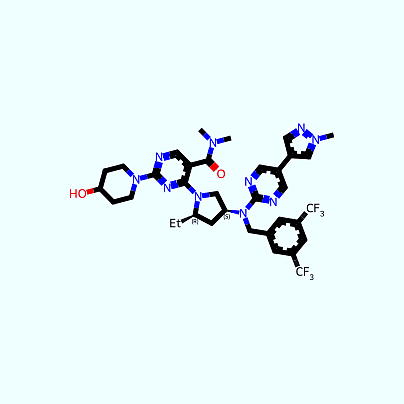 CC[C@@H]1C[C@H](N(Cc2cc(C(F)(F)F)cc(C(F)(F)F)c2)c2ncc(-c3cnn(C)c3)cn2)CN1c1nc(N2CCC(O)CC2)ncc1C(=O)N(C)C